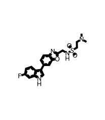 CN(C)CCS(=O)(=O)NCc1nc2ccc(-c3c[nH]c4cc(F)ccc34)cc2o1